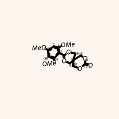 COc1cc(OC)c(C2OCC3(COC(=O)OC3)CO2)c(OC)c1